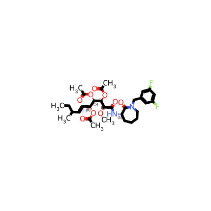 CCC(C)/C=C/[C@@H](OC(C)=O)[C@H](OC(C)=O)[C@@H](OC(C)=O)[C@@H](OC)C(=O)N[C@H]1CCCCN(Cc2cc(F)cc(F)c2)C1=O